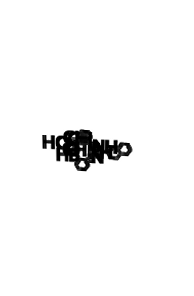 CC(C)(O)C1(C)OBc2ccccc2C2=NC(c3ccc4ccccc4c3)NC(N2)c2ccccc21